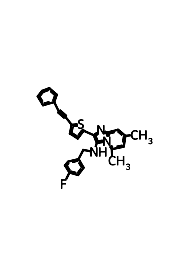 Cc1cc(C)n2c(NCc3ccc(F)cc3)c(-c3ccc(C#Cc4ccccc4)s3)nc2c1